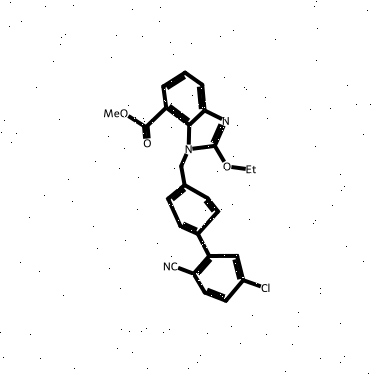 CCOc1nc2cccc(C(=O)OC)c2n1Cc1ccc(-c2cc(Cl)ccc2C#N)cc1